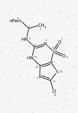 CCCCCC(C)NC1=NS(=O)(=O)c2sc(Cl)cc2N1